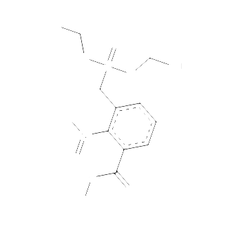 CCOP(=O)(Cc1cccc(C(=O)OC)c1[N+](=O)[O-])OCC